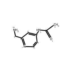 CC(=O)Nc1ccnc(CN)c1